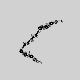 CN1CCN(c2ccc3[nH]c(-c4ccc5nc(-c6cccc(OCCCC(=O)NCCCCNCCCNC(=O)CCCOc7cccc(-c8nc9ccc(-c%10nc%11cc(N%12CCN(C)CC%12)ccc%11[nH]%10)cc9[nH]8)c7)c6)[nH]c5c4)nc3c2)CC1